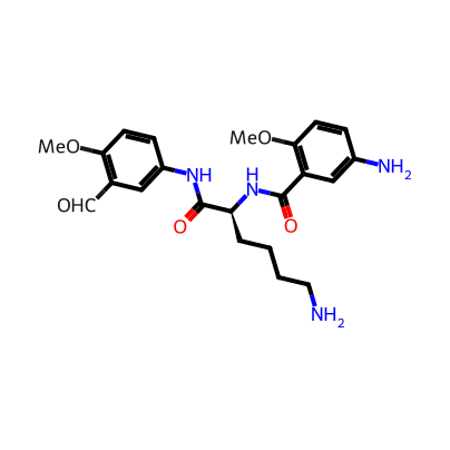 COc1ccc(NC(=O)[C@H](CCCCN)NC(=O)c2cc(N)ccc2OC)cc1C=O